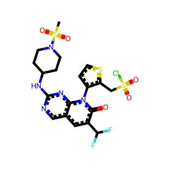 CS(=O)(=O)N1CCC(Nc2ncc3cc(C(F)F)c(=O)n(-c4ccsc4CS(=O)(=O)Cl)c3n2)CC1